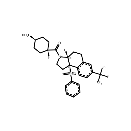 O=C(O)[C@H]1CC[C@](F)(C(=O)N2CC[C@@]3(S(=O)(=O)c4ccccc4)c4ccc(C(F)(C(F)(F)F)C(F)(F)F)cc4CC[C@@H]23)CC1